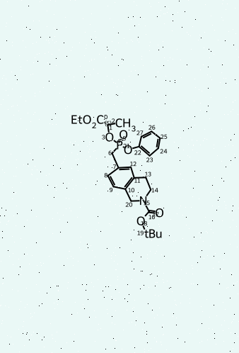 CCOC(=O)[C@H](C)OP(=O)(Cc1ccc2c(c1)CCN(C(=O)OC(C)(C)C)C2)Oc1ccccc1